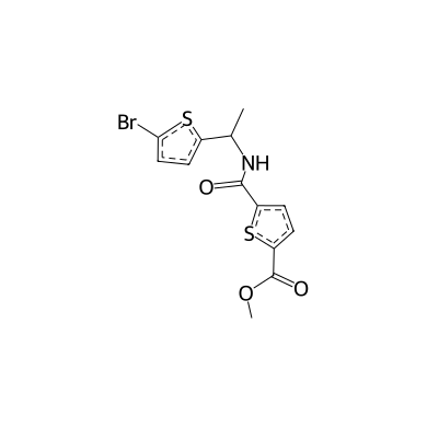 COC(=O)c1ccc(C(=O)NC(C)c2ccc(Br)s2)s1